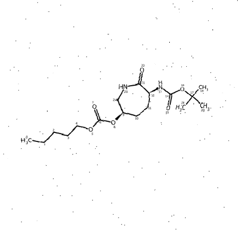 CCCCCOC(=O)O[C@@H]1CC[C@H](NC(=O)OC(C)(C)C)C(=O)NC1